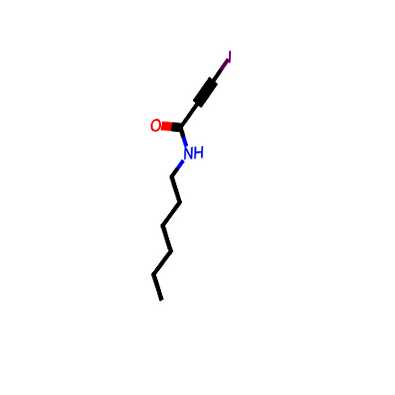 CCCCCCNC(=O)C#CI